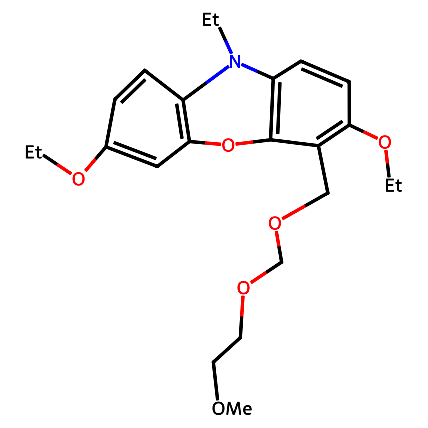 CCOc1ccc2c(c1)Oc1c(ccc(OCC)c1COCOCCOC)N2CC